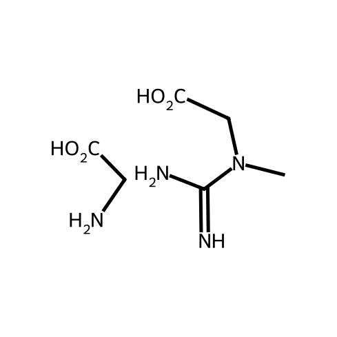 CN(CC(=O)O)C(=N)N.NCC(=O)O